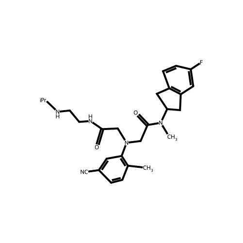 Cc1ccc(C#N)cc1N(CC(=O)NCCNC(C)C)CC(=O)N(C)C1Cc2ccc(F)cc2C1